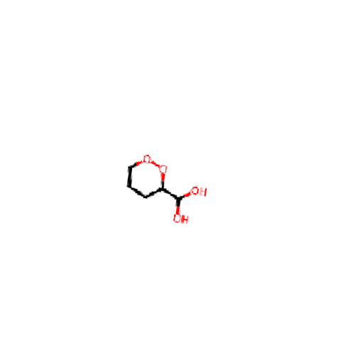 OC(O)C1CCCOO1